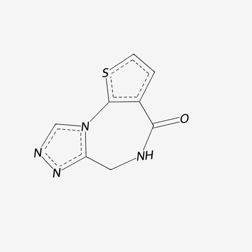 O=C1NCc2nncn2-c2sccc21